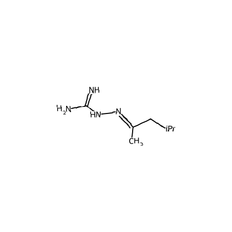 C/C(CC(C)C)=N\NC(=N)N